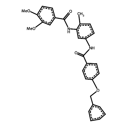 COc1ccc(C(=O)Nc2cc(NC(=O)c3ccc(OCc4ccccc4)cc3)ccc2C)cc1OC